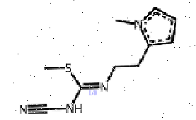 CS/C(=N\CCc1cccn1C)NC#N